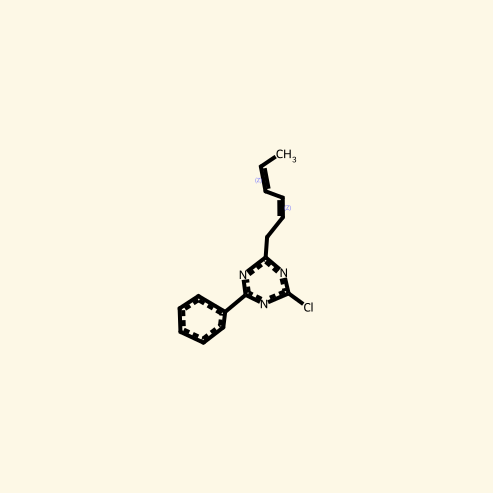 C/C=C\C=C/Cc1nc(Cl)nc(-c2ccccc2)n1